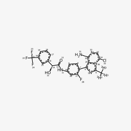 [2H]C([2H])([2H])c1nc(-c2ccc(NC(=O)[C@@H](O)c3cccc(C(F)(F)F)c3)cc2F)c2c(N)ncc(Cl)n12